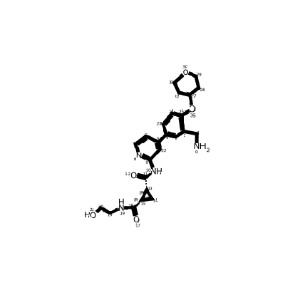 NCc1cc(-c2ccnc(NC(=O)[C@@H]3C[C@H]3C(=O)NCCO)c2)ccc1OC1CCOCC1